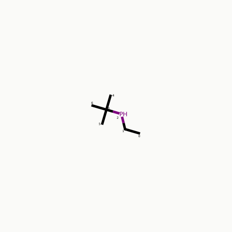 CCPC(C)(C)C